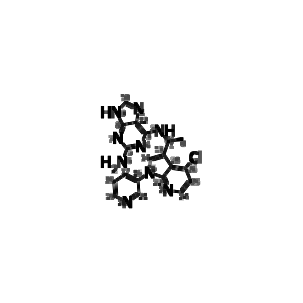 C[C@H](Nc1nc(N)nc2[nH]cnc12)c1cn(-c2cccnc2)c2nccc(Cl)c12